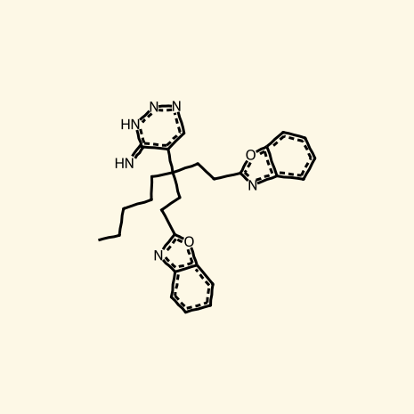 CCCCCC(CCc1nc2ccccc2o1)(CCc1nc2ccccc2o1)c1cnn[nH]c1=N